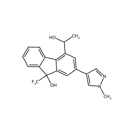 CC(O)c1cc(-c2cnn(C)c2)cc2c1-c1ccccc1C2(O)C(F)(F)F